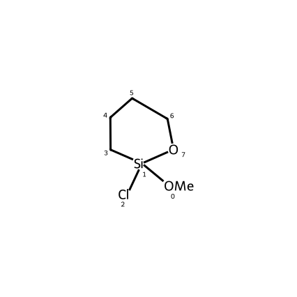 CO[Si]1(Cl)CCCCO1